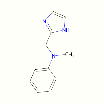 CN(Cc1ncc[nH]1)c1ccccc1